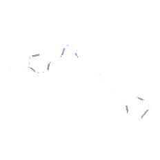 Oc1ccc(-c2nnc(COCCCOc3ccccc3)o2)cc1